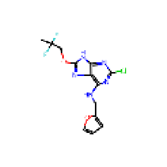 CC(F)(F)COc1nc2c(NCc3ccco3)nc(Cl)nc2[nH]1